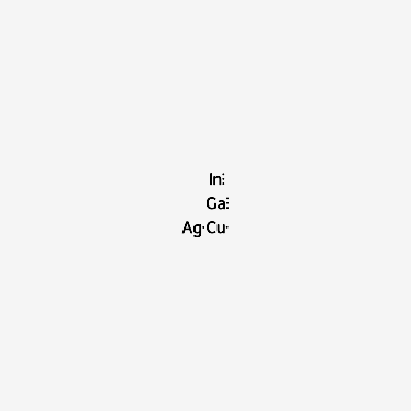 [Ag].[Cu].[Ga].[In]